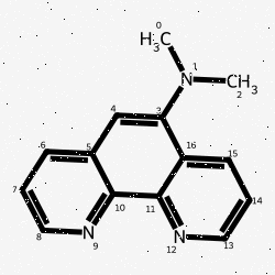 CN(C)c1cc2cccnc2c2ncccc12